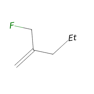 [CH2]CCC(=C)CF